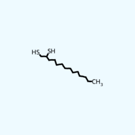 CCCCCCCCCCCCC(S)CS